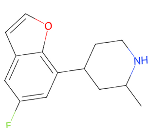 CC1CC(c2cc(F)cc3ccoc23)CCN1